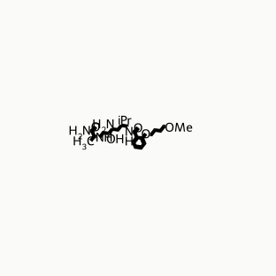 COCCCCOc1ccccc1C(=O)NCC(CC(N)C(O)CNC(C)C(N)=O)C(C)C